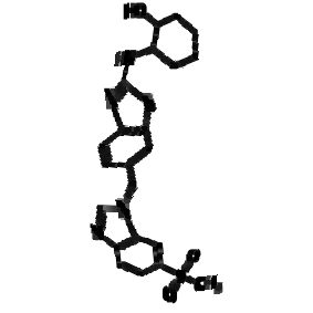 CS(=O)(=O)c1ccc2ncn(Cc3ccc4nc(NC5CCCCC5O)sc4c3)c2c1